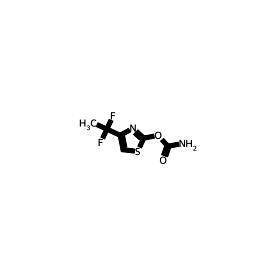 CC(F)(F)c1csc(OC(N)=O)n1